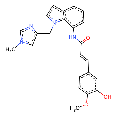 COc1ccc(C=CC(=O)Nc2cccc3ccn(Cc4cn(C)cn4)c23)cc1O